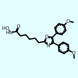 COc1ccc(-c2nc(CCCCCC(=O)NO)oc2-c2ccc(OC)cc2)cc1